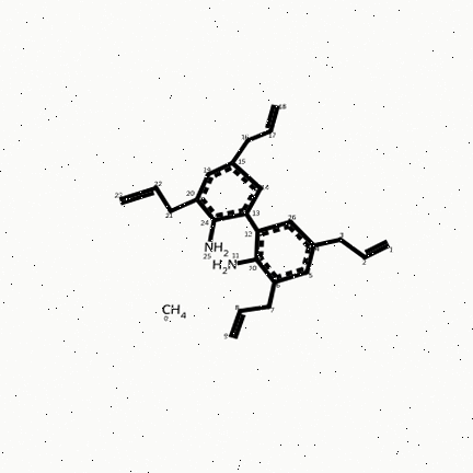 C.C=CCc1cc(CC=C)c(N)c(-c2cc(CC=C)cc(CC=C)c2N)c1